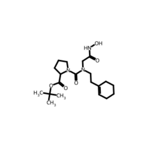 CC(C)(C)OC(=O)C1CCCN1C(=O)N(CCC1=CCCCC1)CC(=O)NO